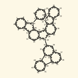 c1ccc(-n2c3ccccc3c3ccc4c(c5c6oc7ccccc7c6ccc5n4-c4cc5c6c(cccc6c4)-c4ccccc4-5)c32)cc1